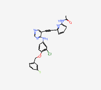 CC(=O)Nc1cccc(C#Cc2cncnc2Nc2ccc(OCc3cccc(F)c3)c(Cl)c2)n1